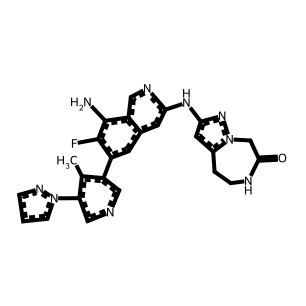 Cc1c(-c2cc3cc(Nc4cc5n(n4)CC(=O)NCC5)ncc3c(N)c2F)cncc1-n1cccn1